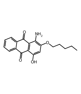 CCCCCOc1cc(O)c2c(c1N)C(=O)c1ccccc1C2=O